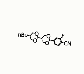 CCCC[C@H]1CO[C@H]([C@H]2CO[C@H](c3ccc(C#N)c(F)c3)OC2)OC1